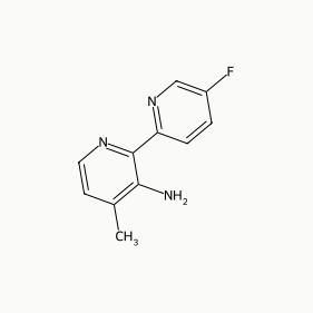 Cc1ccnc(-c2ccc(F)cn2)c1N